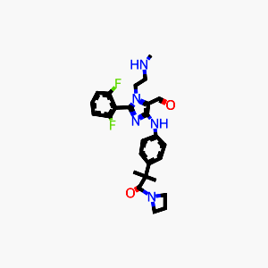 CNCCn1c(-c2c(F)cccc2F)nc(Nc2ccc(C(C)(C)C(=O)N3CCC3)cc2)c1C=O